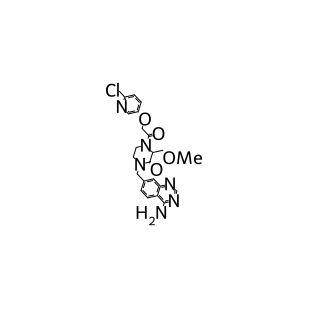 COCC1C(=O)N(Cc2ccc3c(N)ncnc3c2)CCN1C(=O)COc1ccc(Cl)nc1